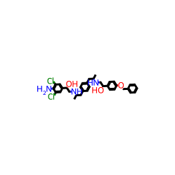 CC(Cc1ccc(CC(C)NC[C@H](O)c2ccc(OCc3ccccc3)cc2)cc1)NCC(O)c1cc(Cl)c(N)c(Cl)c1